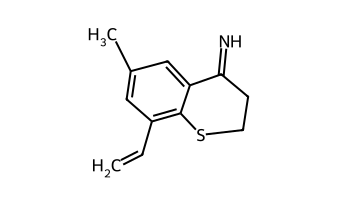 C=Cc1cc(C)cc2c1SCCC2=N